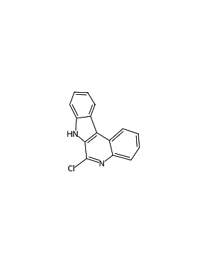 Clc1nc2ccccc2c2c1[nH]c1ccccc12